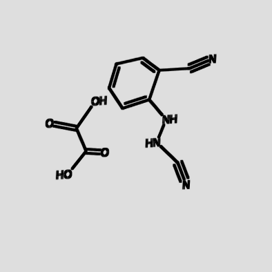 N#CNNc1ccccc1C#N.O=C(O)C(=O)O